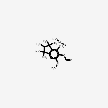 COc1cc2c(c(C)c1OC=O)C(C)(C)C(C)C2(C)C.[CH3][Mg][Br]